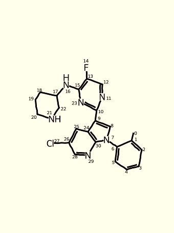 Cc1ccccc1-n1cc(-c2ncc(F)c(NC3CCCNC3)n2)c2cc(Cl)cnc21